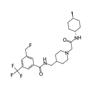 C[C@H]1CC[C@H](NC(=O)CN2CCC(CNC(=O)c3cc(CF)cc(C(F)(F)F)c3)CC2)CC1